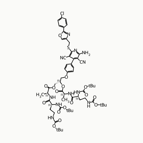 C[C@H](NC(=O)[C@H](CCNC(=O)OC(C)(C)C)NC(=O)OC(C)(C)C)C(=O)OC[C@H](COc1ccc(-c2c(C#N)c(N)nc(SCc3coc(-c4ccc(Cl)cc4)n3)c2C#N)cc1)OC(=O)[C@H](C)NC(=O)[C@H](CCNC(=O)OC(C)(C)C)NC(=O)OC(C)(C)C